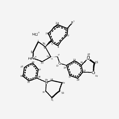 Cl.Fc1ccc([C@@H]2CCNC[C@H]2COc2ccc3c(c2)OCO3)cc1.c1ccc(N2CCCCC2)cc1